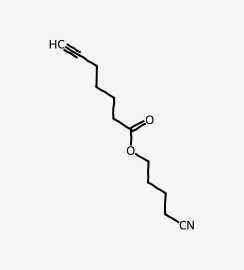 C#CCCCCC(=O)OCCCCC#N